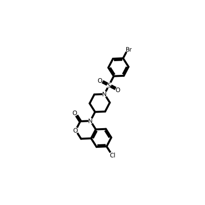 O=C1OCc2cc(Cl)ccc2N1C1CCN(S(=O)(=O)c2ccc(Br)cc2)CC1